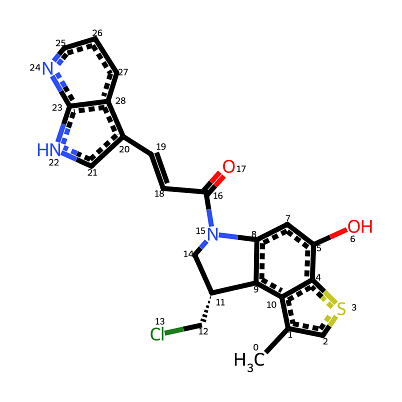 Cc1csc2c(O)cc3c(c12)[C@H](CCl)CN3C(=O)C=Cc1c[nH]c2ncccc12